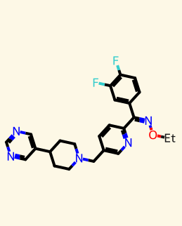 CCON=C(c1ccc(F)c(F)c1)c1ccc(CN2CCC(c3cncnc3)CC2)cn1